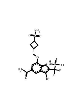 NC(=O)c1cc(OC[C@H]2C[C@H](S(N)(=O)=O)C2)c2sc(C(F)(F)P(=O)(O)O)c(Br)c2c1